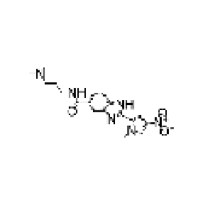 CN(C)CCCNC(=O)c1ccc2[nH]c(-c3cc([N+](=O)[O-])cn3C)nc2c1